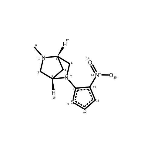 CN1C[C@@H]2C[C@H]1CN2c1sccc1[N+](=O)[O-]